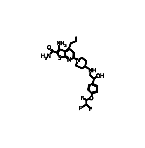 CCCc1cc(N2CCC(NCC(O)c3ccc(OC(F)C(F)F)cc3)CC2)nc2sc(C(N)=O)c(N)c12